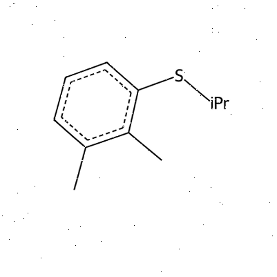 Cc1cccc(SC(C)C)c1C